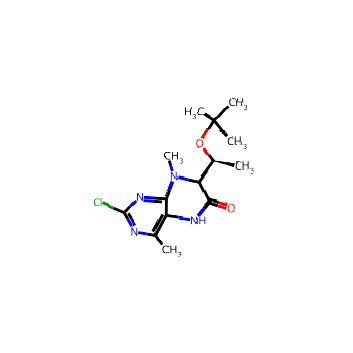 Cc1nc(Cl)nc2c1NC(=O)C([C@H](C)OC(C)(C)C)N2C